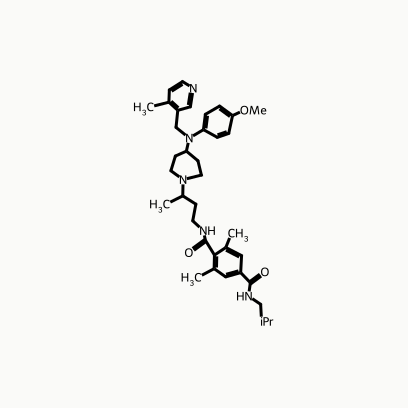 COc1ccc(N(Cc2cnccc2C)C2CCN(C(C)CCNC(=O)c3c(C)cc(C(=O)NCC(C)C)cc3C)CC2)cc1